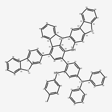 Cc1ccc(Nc2cc(N(c3ccccc3)c3ccccc3)ccc2-c2cc(-c3ccc4c(c3)sc3ccccc34)c3c4ccccc4n4c3c2Bc2cc3oc5ccccc5c3cc2-4)cc1